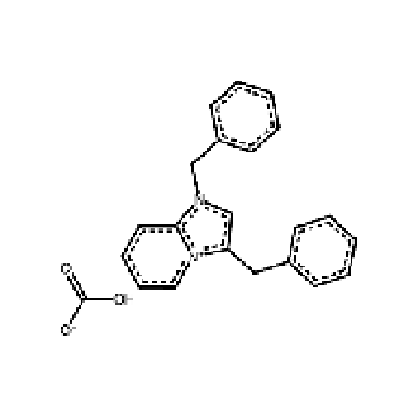 O=C([O-])O.c1ccc(Cc2cn(Cc3ccccc3)c3cccc[n+]23)cc1